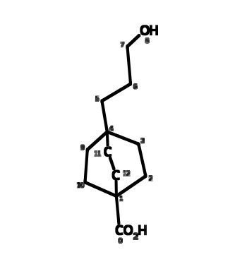 O=C(O)C12CCC(CCCO)(CC1)CC2